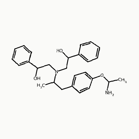 CC(N)Oc1ccc(CC(C)N(CC(O)c2ccccc2)CC(O)c2ccccc2)cc1